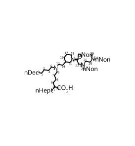 CCCCCCCCCCCCCCN(CCCCC(CCCCCCC)C(=O)O)CCC1CCCN(C(=O)CN(CCCCCCCCC)CCN(CCCCCCCCC)CCCCCCCCC)C1